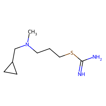 CN(CCCSC(=N)N)CC1CC1